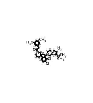 Cc1cc(C)cc(CC(=O)N2CCCC(CCN3CCN(CC(C)C(=O)N(C)C)CC3)(c3ccc(Cl)c(Cl)c3)C2)c1